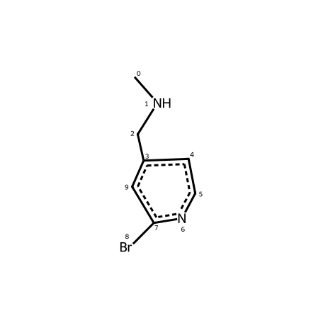 CNCc1ccnc(Br)c1